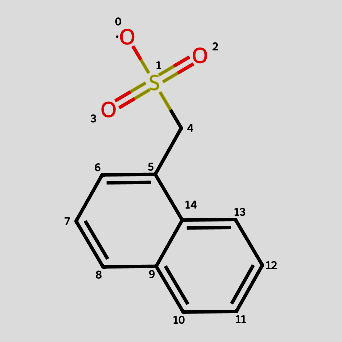 [O]S(=O)(=O)Cc1cccc2ccccc12